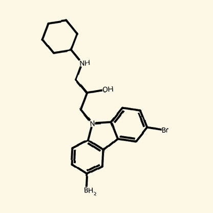 Bc1ccc2c(c1)c1cc(Br)ccc1n2CC(O)CNC1CCCCC1